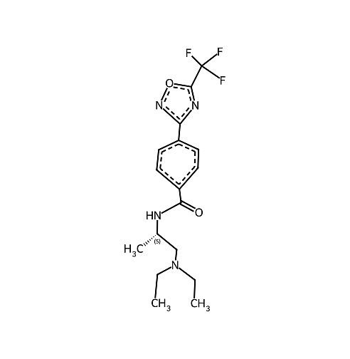 CCN(CC)C[C@H](C)NC(=O)c1ccc(-c2noc(C(F)(F)F)n2)cc1